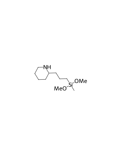 CO[Si](C)(CCCC1CCCCN1)OC